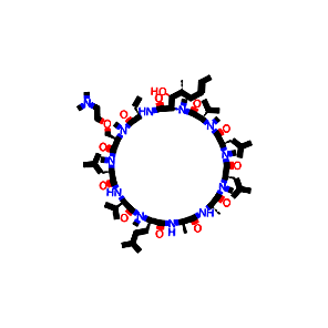 C/C=C/C[C@@H](C)[C@@H](O)[C@H]1C(=O)N[C@@H](CC)C(=O)N(C)[C@H](COCCN(C)C)C(=O)N(C)[C@@H](CC(C)C)C(=O)N[C@H](C(C)C)C(=O)N(C)[C@H](CCC(C)C)C(=O)N[C@H](C)C(=O)N[C@@H](C)C(=O)N(C)[C@@H](CC(C)C)C(=O)N(C)[C@@H](CC(C)C)C(=O)N(C)[C@@H](C(C)C)C(=O)N1C